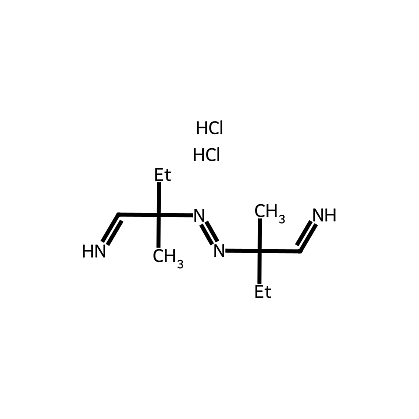 CCC(C)(C=N)N=NC(C)(C=N)CC.Cl.Cl